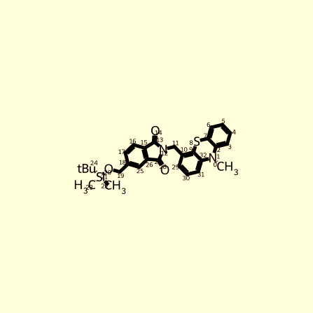 CN1c2ccccc2Sc2c(CN3C(=O)c4ccc(CO[Si](C)(C)C(C)(C)C)cc4C3=O)cccc21